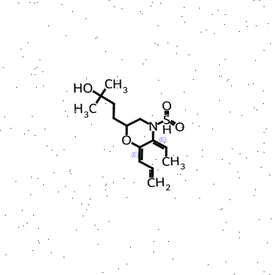 C=C/C=C1/OC(CCC(C)(C)O)CN([SH](=O)=O)/C1=C/C